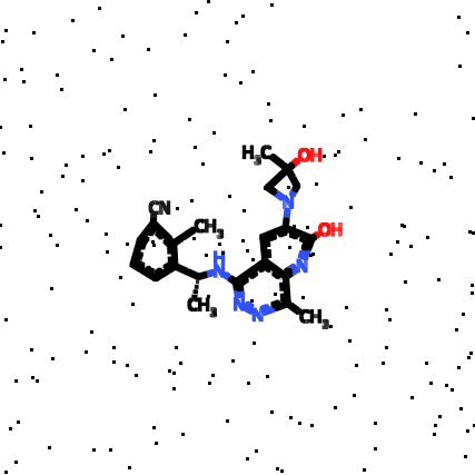 Cc1c(C#N)cccc1[C@@H](C)Nc1nnc(C)c2nc(O)c(N3CC(C)(O)C3)cc12